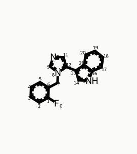 Fc1ccccc1Cn1cncc1-c1c[nH]c2ccccc12